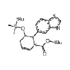 CC(C)(C)OC(=O)N1C=CCC(O[Si](C)(C)C(C)(C)C)C1c1ccc2scnc2c1